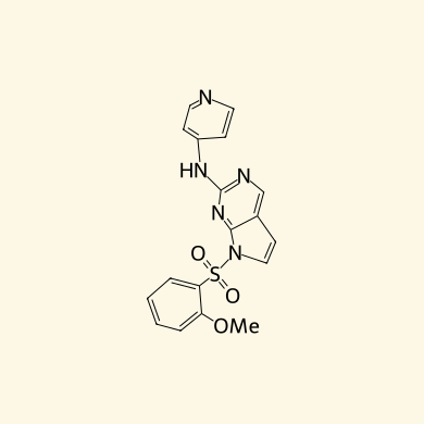 COc1ccccc1S(=O)(=O)n1ccc2cnc(Nc3ccncc3)nc21